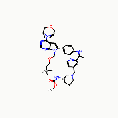 CC(Nc1ccc(-c2cc3c(N4C5CCC4COC5)ncnc3n2COCC[Si](C)(C)C)cc1)c1cc(CN2CCC[C@@H](NC(=O)OC(C)(C)C)C2)ccn1